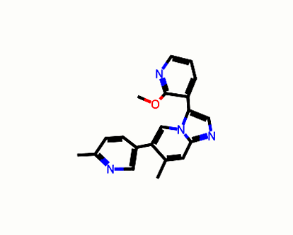 COc1ncccc1-c1cnc2cc(C)c(-c3ccc(C)nc3)cn12